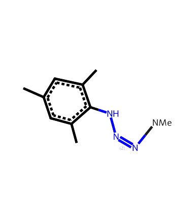 CN/N=N\Nc1c(C)cc(C)cc1C